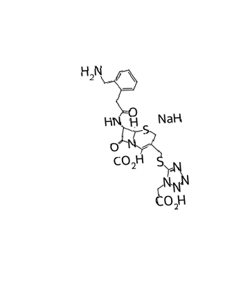 NCc1ccccc1CC(=O)N[C@@H]1C(=O)N2C(C(=O)O)=C(CSc3nnnn3CC(=O)O)CS[C@H]12.[NaH]